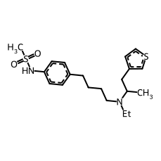 CCN(CCCCc1ccc(NS(C)(=O)=O)cc1)C(C)Cc1ccsc1